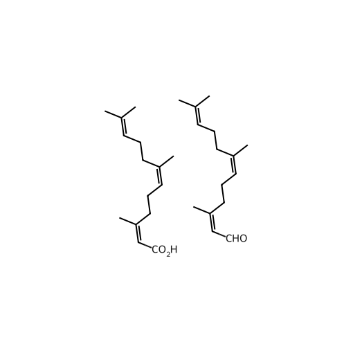 CC(C)=CCCC(C)=CCCC(C)=CC(=O)O.CC(C)=CCCC(C)=CCCC(C)=CC=O